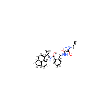 C#CCNC(=O)C(=O)NCc1ccccc1C(=O)NC1(c2ccc3c4c(cccc24)CC3)CC1